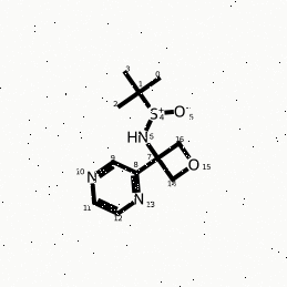 CC(C)(C)[S+]([O-])NC1(c2cnccn2)COC1